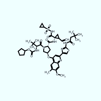 C=CC1C[C@]1(NC(=O)[C@@H]1C[C@@H](Oc2cc(-c3csc(NC(=O)CC(C)(C)C)n3)nc3cc(OC)c(C)cc23)CN1C(=O)[C@@H](NC(=O)OC1CCCC1)C(C)(C)C)C(=O)NS(=O)(=O)C1CC1